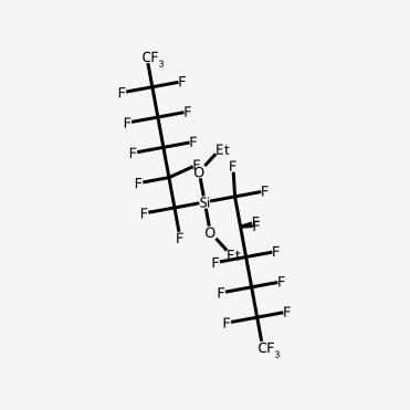 CCO[Si](OCC)(C(F)(F)C(F)(F)C(F)(F)C(F)(F)C(F)(F)C(F)(F)F)C(F)(F)C(F)(F)C(F)(F)C(F)(F)C(F)(F)C(F)(F)F